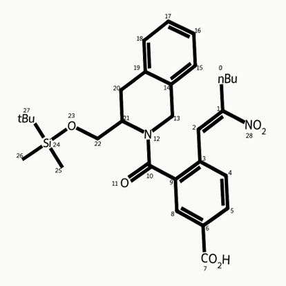 CCCCC(=Cc1ccc(C(=O)O)cc1C(=O)N1Cc2ccccc2CC1CO[Si](C)(C)C(C)(C)C)[N+](=O)[O-]